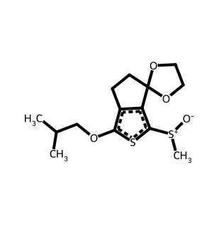 CC(C)COc1sc([S+](C)[O-])c2c1CCC21OCCO1